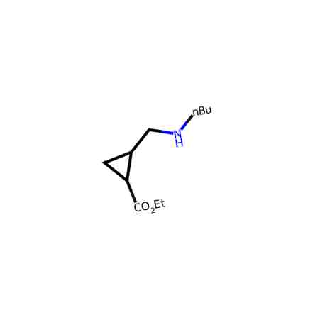 CCCCNCC1CC1C(=O)OCC